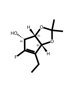 CCC1=C(F)[C@H](O)[C@@H]2OC(C)(C)O[C@H]12